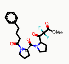 COC(=O)C(F)(F)C(=O)C1CCCN1C(=O)[C@H]1CCCN1C(=O)CCCc1ccccc1